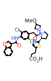 COC1CN([N+]2(C(=O)Cc3cc(Cl)c(NC(=O)c4coc5ccccc45)cc3Cl)CCC[C@H]2c2ncc(CCC(=O)O)s2)C1